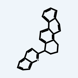 c1ccc2nc(C3CCCc4c3ccc3c4ccc4ccccc43)ccc2c1